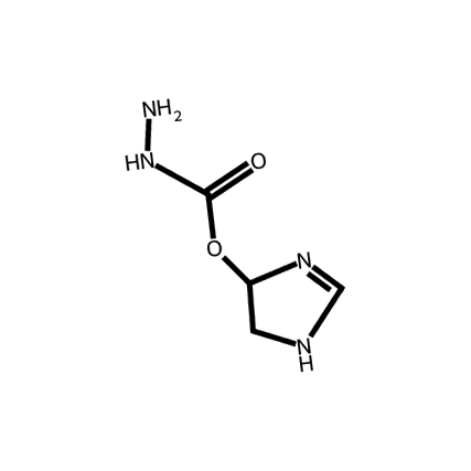 NNC(=O)OC1CNC=N1